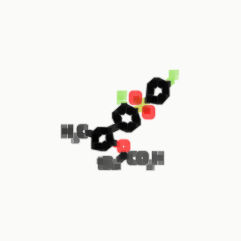 Cc1ccc(OC(C(=O)O)C(C)(C)C)c(-c2ccc(S(=O)(=O)c3ccc(F)cc3)c(F)c2)c1